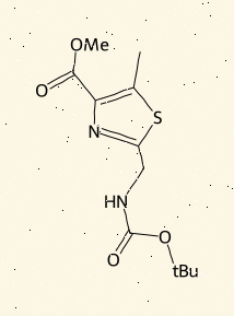 COC(=O)c1nc(CNC(=O)OC(C)(C)C)sc1C